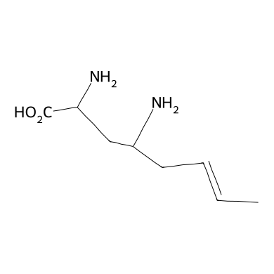 C/C=C/CC(N)CC(N)C(=O)O